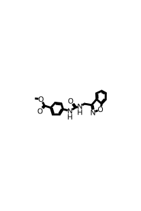 COC(=O)c1ccc(NC(=O)NCc2noc3ccccc23)cc1